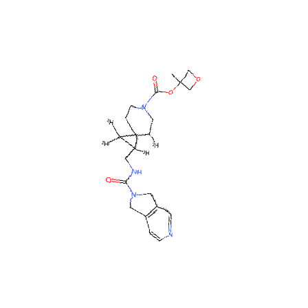 [2H]C1CN(C(=O)OC2(C)COC2)CCC12C([2H])([2H])C2([2H])CNC(=O)N1Cc2ccncc2C1